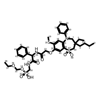 CCCCC1(CC)CN(c2ccccc2)c2cc(SC)c(OCC(=O)NC(C(=O)NCP(=O)(O)OCOCC)c3ccccc3)cc2S(=O)(=O)C1